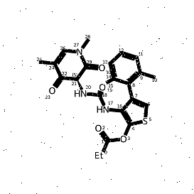 CCC(=O)Oc1scc(-c2c(C)cccc2C)c1NC(=O)N[C@H]1C(=O)C(C)=CN(C)C1=O